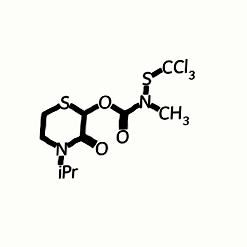 CC(C)N1CCSC(OC(=O)N(C)SC(Cl)(Cl)Cl)C1=O